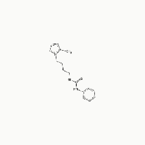 Cc1cccn1CCCCNC(=S)Nc1ccccc1